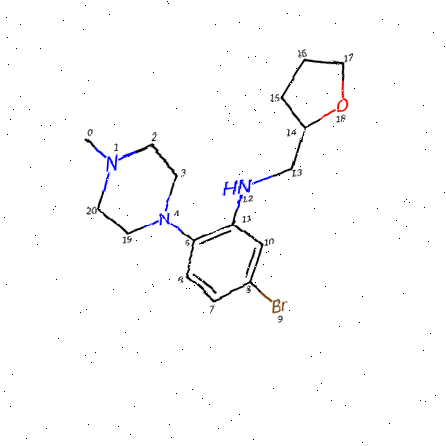 CN1CCN(c2ccc(Br)cc2NCC2CCCO2)CC1